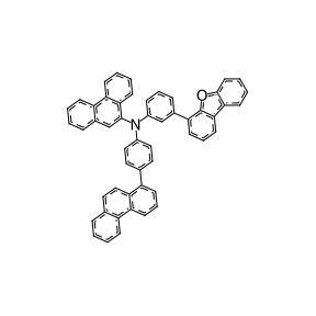 c1cc(-c2cccc3c2oc2ccccc23)cc(N(c2ccc(-c3cccc4c3ccc3ccccc34)cc2)c2cc3ccccc3c3ccccc23)c1